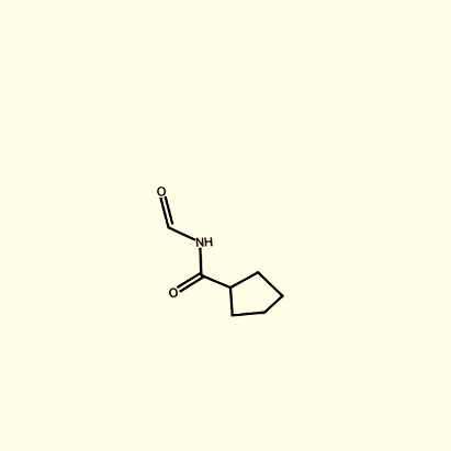 O=CNC(=O)C1CCCC1